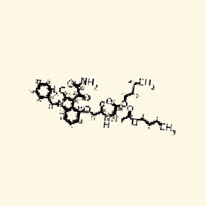 CCCCOC(=O)C[C@H](NC(=O)COc1cccc2c1c(C(=O)C(N)=O)c(C)n2Cc1ccccc1)C(=O)OCCCC